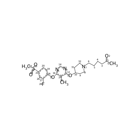 CC(=O)CCCCN1CCC(Oc2ncnc(Oc3ccc(S(C)(=O)=O)cc3F)c2C)CC1